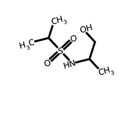 CC(CO)NS(=O)(=O)C(C)C